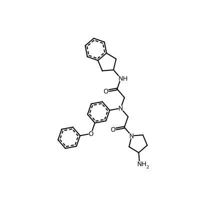 NC1CCN(C(=O)CN(CC(=O)NC2Cc3ccccc3C2)c2cccc(Oc3ccccc3)c2)C1